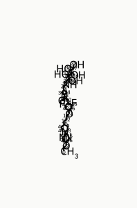 CCOc1cnc(N2CCC(CCCOc3cc(F)c(CC(=O)N4CC(CNC[C@H](O)[C@@H](O)[C@H](O)[C@H](O)CO)C4)c(F)c3)CC2)nc1